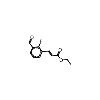 CCOC(=O)/C=C/c1cccc(C=O)c1F